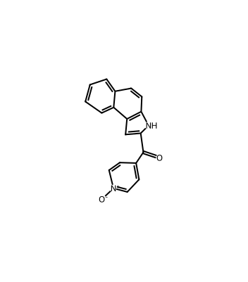 O=C(c1cc[n+]([O-])cc1)c1cc2c(ccc3ccccc32)[nH]1